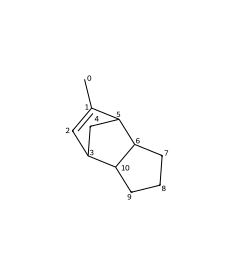 CC1=CC2CC1C1CCCC21